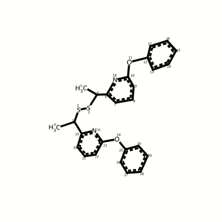 CC(SSC(C)c1cccc(Oc2ccccc2)n1)c1cccc(Oc2ccccc2)n1